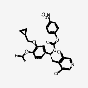 O=C(Oc1ccc([N+](=O)[O-])cc1)O[C@@H](Cc1c(Cl)cncc1Cl)c1ccc(OC(F)F)c(OCC2CC2)c1